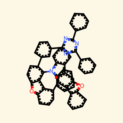 c1ccc(-c2nc(-c3ccccc3)nc(-c3cccc(-c4ccc5oc6cccc(-c7cccc8oc9ccccc9c78)c6c5c4-n4c5ccccc5c5ccccc54)c3)n2)cc1